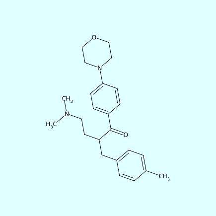 Cc1ccc(CC(CCN(C)C)C(=O)c2ccc(N3CCOCC3)cc2)cc1